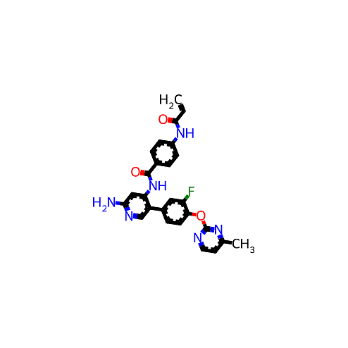 C=CC(=O)Nc1ccc(C(=O)Nc2cc(N)ncc2-c2ccc(Oc3nccc(C)n3)c(F)c2)cc1